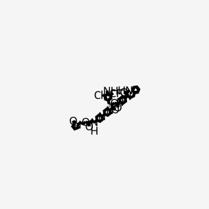 Nc1c(Cl)cc(C[C@@H](OC(=O)N2CCC(N3CCc4ccccc4NC3=O)CC2)C(=O)N2CCC(N3CCC(NCC(=O)OCCN4CCCC4=O)CC3)CC2)cc1C(F)(F)F